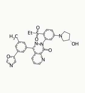 CCS(=O)(=O)c1ccc(N2CC[C@H](O)C2)cc1-n1nc(-c2cc(C)cc(-c3cnco3)c2)c2cccnc2c1=O